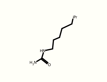 CC(C)CCCCCNC(N)=O